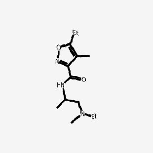 CCc1onc(C(=O)NC(C)CN(C)CC)c1C